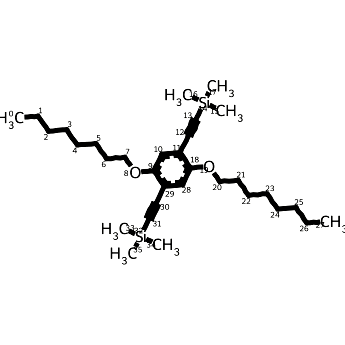 CCCCCCCCOc1cc(C#C[Si](C)(C)C)c(OCCCCCCCC)cc1C#C[Si](C)(C)C